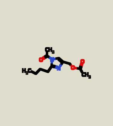 CCCCc1nc(COC(C)=O)cn1C(C)=O